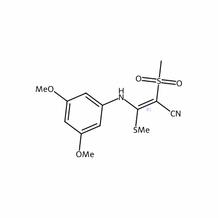 COc1cc(N/C(SC)=C(/C#N)S(C)(=O)=O)cc(OC)c1